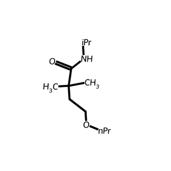 CCCOCCC(C)(C)C(=O)NC(C)C